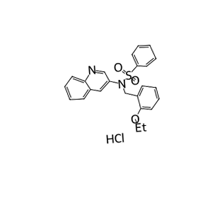 CCOc1ccccc1CN(c1cnc2ccccc2c1)S(=O)(=O)c1ccccc1.Cl